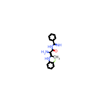 C/C(Nc1ccccc1F)=C(/N)C(=O)NC(=N)c1ccccc1